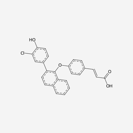 O=C(O)C=Cc1ccc(Oc2c(-c3ccc(O)c(Cl)c3)ccc3ccccc23)cc1